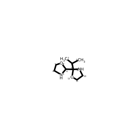 CC(C)C1(C2NCCO2)NCCO1